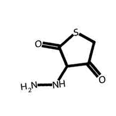 NNC1C(=O)CSC1=O